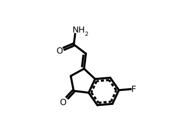 NC(=O)C=C1CC(=O)c2ccc(F)cc21